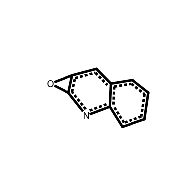 c1ccc2nc3c(cc2c1)O3